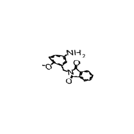 COc1ccc(N)cc1CN1C(=O)c2ccccc2C1=O